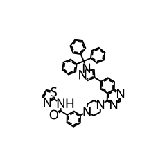 O=C(Nc1nccs1)c1cccc(N2CCN(c3ncnc4ccc(-c5cnn(C(c6ccccc6)(c6ccccc6)c6ccccc6)c5)cc34)CC2)c1